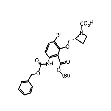 CC(C)(C)OC(=O)c1c(NC(=O)OCc2ccccc2)ccc(Br)c1OC[C@H]1CCN1C(=O)O